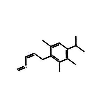 C=N/C=C\Cc1c(C)cc(C(C)C)c(C)c1C